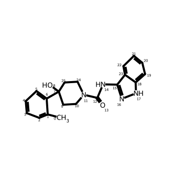 Cc1ccccc1C1(O)CCN(C(=O)Nc2n[nH]c3ccccc23)CC1